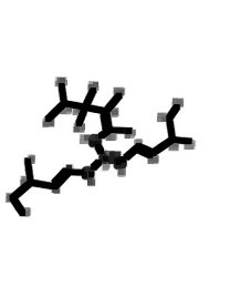 CCC(C)C=CO[SiH](OC=CC(C)CC)OC(C)=C(C)C(C)(C)C(C)C